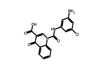 Nc1cc(Cl)cc(NC(=O)n2cc(C(=O)O)c(=O)c3ccccc32)c1